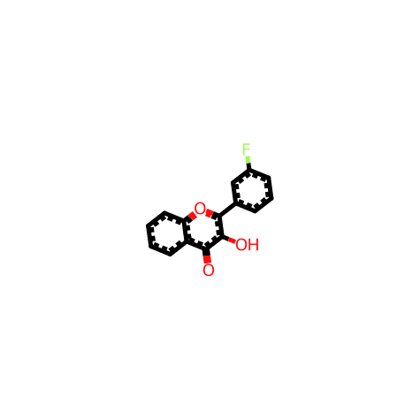 O=c1c(O)c(-c2cccc(F)c2)oc2ccccc12